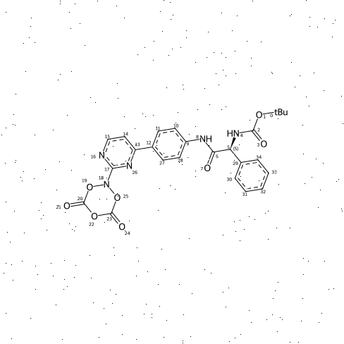 CC(C)(C)OC(=O)N[C@H](C(=O)Nc1ccc(-c2ccnc(N3OC(=O)OC(=O)O3)n2)cc1)c1ccccc1